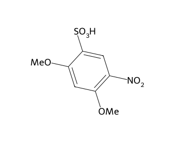 COc1cc(OC)c(S(=O)(=O)O)cc1[N+](=O)[O-]